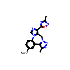 COc1ccc2c(c1)-c1c(C)nnn1Cc1c(-c3nc(C)no3)ncn1-2